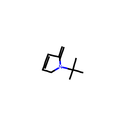 C=C1C=CCN1C(C)(C)C